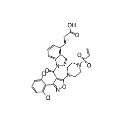 C=CS(=O)(=O)N1CCN(c2onc(-c3c(Cl)cccc3Cl)c2C(=O)n2ccc3c(/C=C/C(=O)O)cccc32)CC1